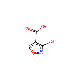 O=C(O)c1conc1O